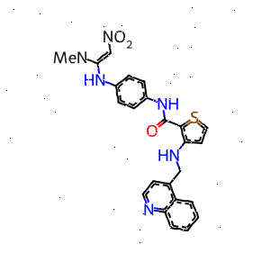 CNC(=C[N+](=O)[O-])Nc1ccc(NC(=O)c2sccc2NCc2ccnc3ccccc23)cc1